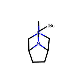 CN1CC2CCC(C1)N2CC(C)(C)C